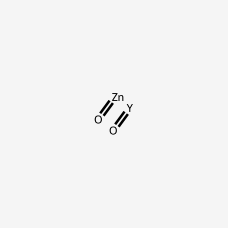 [O]=[Y].[O]=[Zn]